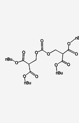 CCCCOC(=O)C(COC(=O)OCC(C(=O)OCCCC)C(=O)OCCCC)C(=O)OCCCC